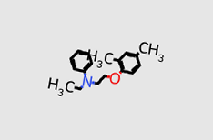 CCN(CCOc1ccc(C)cc1C)c1ccccc1